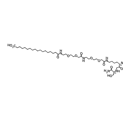 CN[C@@H](CCCCNC(=O)COCCOCCNC(=O)COCCOCCNC(=O)CCCCCCCCCCCCCCCCC(=O)O)C(=O)CN[C@@H](CO)C(N)=O